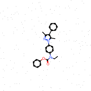 CCN(C(=O)Oc1ccccc1)c1ccc(-n2nc(C)c(-c3ccccc3)c2C)cc1